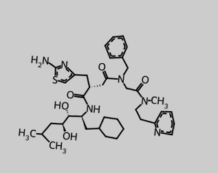 CC(C)C[C@H](O)[C@H](O)[C@H](CC1CCCCC1)NC(=O)[C@@H](CC(=O)N(CC(=O)N(C)CCc1ccccn1)Cc1ccccc1)Cc1csc(N)n1